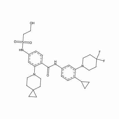 O=C(Nc1ccc(C2CC2)c(N2CCC(F)(F)CC2)c1)c1ccc(NS(=O)(=O)CCO)cc1N1CCC2(CC1)CC2